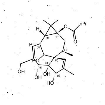 CCCC(=O)O[C@@]12C[C@@H](C)[C@]34C=C(C)[C@H](O)[C@@]3(O)[C@H](O)C(CO)=C[C@H](C4O)[C@@H]1C2(C)C